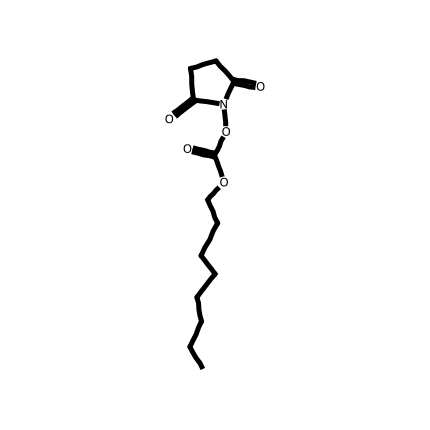 CCCCCCCCOC(=O)ON1C(=O)CCC1=O